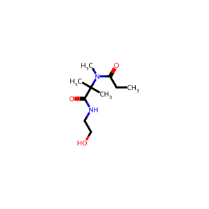 CCC(=O)N(C)C(C)(C)C(=O)NCCO